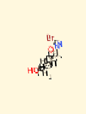 C[C@@]1(O)CC[C@H]2C(=CC[C@@H]3[C@@H]2CC[C@]2(C)[C@@H](C(=O)Cn4cc(Br)cn4)CC[C@@H]32)C1